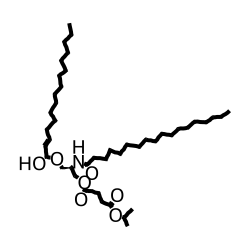 CCCCCCCCCCCCC/C=C/[C@@H](O)OC[C@H](COC(=O)CCC(=O)OC(C)C)NC(=O)CCCCCCCCCCCCCCCCC